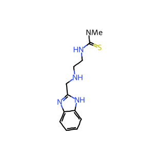 CNC(=S)NCCNCc1nc2ccccc2[nH]1